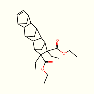 CCOC(=O)C1(CC)C2CC(C3C4CC(C5C6C=CC(C6)C45)C32)C1(CC)C(=O)OCC